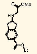 C=C(OCC)c1ccc2c(c1)CC(NCC(=O)OC)C2